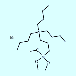 CCCC[N+](CCCC)(CCCC)CCC[Si](OC)(OC)OC.[Br-]